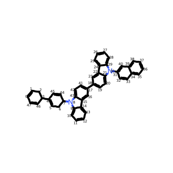 C1=CCC(C2=CCC(n3c4ccccc4c4cc(-c5ccc6c(c5)c5ccccc5n6-c5ccc6ccccc6c5)ccc43)C=C2)C=C1